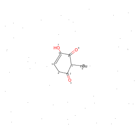 CCCCC1C(=O)CC=C(O)C1=O